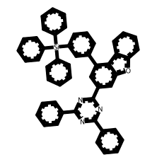 c1ccc(-c2nc(-c3ccccc3)nc(-c3cc(-c4cccc([Si](c5ccccc5)(c5ccccc5)c5ccccc5)c4)c4c(c3)oc3ccccc34)n2)cc1